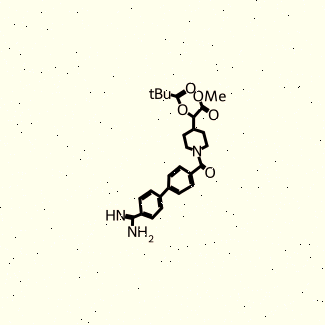 COC(=O)C(OC(=O)C(C)(C)C)C1CCN(C(=O)c2ccc(-c3ccc(C(=N)N)cc3)cc2)CC1